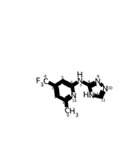 Cc1cc(C(F)(F)F)cc(Nc2nnc[nH]2)n1